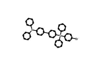 Brc1ccc([Si](c2ccccc2)(c2ccccc2)c2ccc(-c3ccc(N(c4ccccc4)c4ccccc4)cc3)cc2)cc1